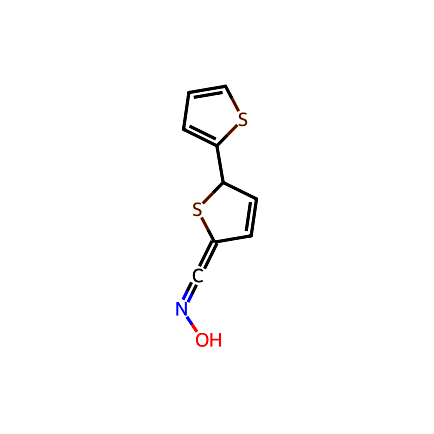 ON=C=C1C=CC(c2cccs2)S1